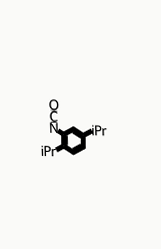 CC(C)c1ccc(C(C)C)c(N=C=O)c1